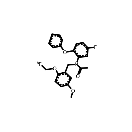 COc1ccc(OC[18F])c(CN(C(C)=O)c2cc(F)ccc2Oc2ccccc2)c1